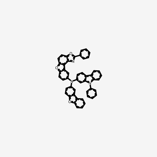 c1ccc(-c2nc3c(ccc4oc5ccc(N(c6ccc7oc8ccccc8c7c6)c6ccc7c8ccccc8n(-c8ccccc8)c7c6)cc5c43)o2)cc1